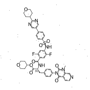 Cn1c(=O)n(-c2ccc(C[C@H](NC(=O)c3cc(F)c(NS(=O)(=O)c4ccc(-c5cnc(C6CCOCC6)nc5)cc4)cc3F)C(=O)OC3CCOCC3)cc2)c(=O)c2ccncc21